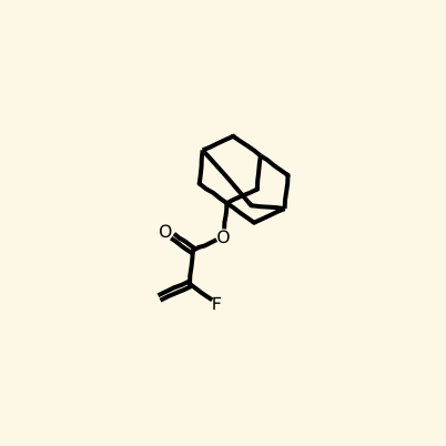 C=C(F)C(=O)OC12CC3CC(CC(C3)C1)C2